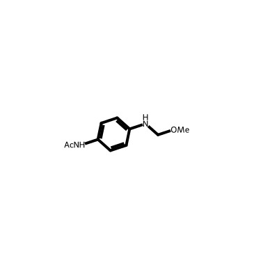 COCNc1ccc(NC(C)=O)cc1